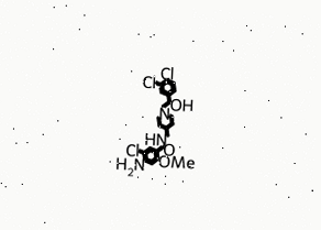 COc1cc(N)c(Cl)cc1C(=O)NCC1CCN(CC(O)c2ccc(Cl)c(Cl)c2)CC1